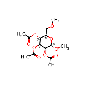 COC[C@H]1O[C@H](OC)[C@@H](OC(C)=O)[C@@H](OC(C)=O)[C@@H]1OC(C)=O